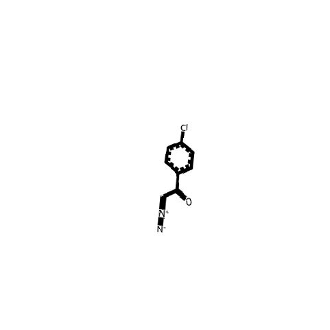 [N-]=[N+]=CC(=O)c1ccc(Cl)cc1